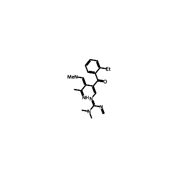 C=N\C(=N/C=C(C(=O)c1ccccc1CC)\C(=C\NC)C(C)=N)N(C)C